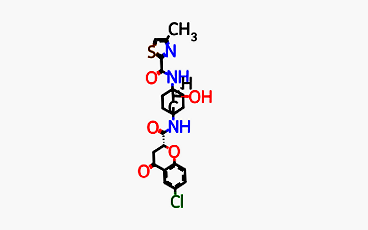 Cc1csc(C(=O)NC23CCC(NC(=O)[C@H]4CC(=O)c5cc(Cl)ccc5O4)(CC2)C[C@@H]3O)n1